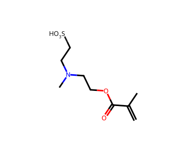 C=C(C)C(=O)OCCN(C)CCS(=O)(=O)O